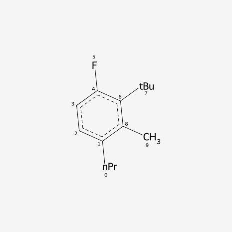 CCCc1ccc(F)c(C(C)(C)C)c1C